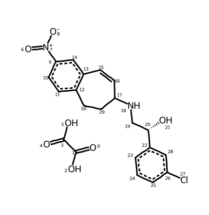 O=C(O)C(=O)O.O=[N+]([O-])c1ccc2c(c1)C=CC(NC[C@H](O)c1cccc(Cl)c1)CC2